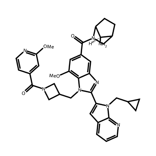 COc1cc(C(=O)N2CC(Cn3c(-c4cc5cccnc5n4CC4CC4)nc4cc(C(=O)N5CC6CCC5[C@@H]6N)cc(OC)c43)C2)ccn1